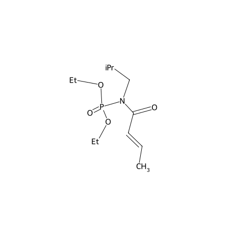 CC=CC(=O)N(CC(C)C)P(=O)(OCC)OCC